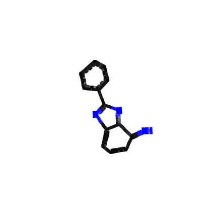 N=C1C=CC=C2N=C(c3ccccc3)N=C12